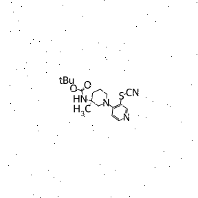 CC(C)(C)OC(=O)N[C@@]1(C)CCCN(c2ccncc2SC#N)C1